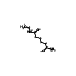 C=CNC(=O)CCCCC(N)=O